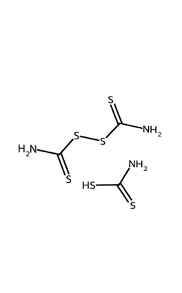 NC(=S)S.NC(=S)SSC(N)=S